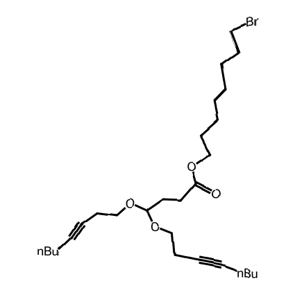 CCCCC#CCCOC(CCC(=O)OCCCCCCCCBr)OCCC#CCCCC